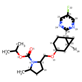 CC(C)OC(=O)N1C(C)CCC1CO[C@H]1CC[C@@]2(c3ncc(F)cn3)C[C@H]2C1